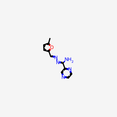 Cc1ccc(C=NN=C(N)c2cnccn2)o1